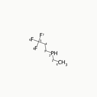 CCPCCC(F)(F)F